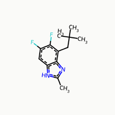 Cc1nc2c(CC(C)(C)C)c(F)c(F)cc2[nH]1